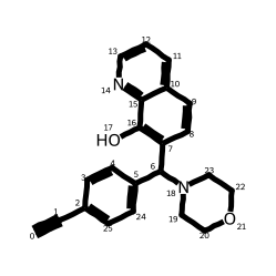 C#Cc1ccc(C(c2ccc3cccnc3c2O)N2CCOCC2)cc1